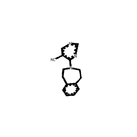 N#Cc1cncnc1N1CCc2ccccc2CC1